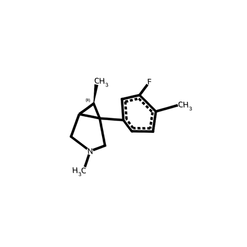 Cc1ccc(C23CN(C)CC2[C@H]3C)cc1F